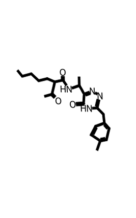 CCCCCC(C(C)=O)C(=O)NC(C)c1nnc(Cc2ccc(C)cc2)[nH]c1=O